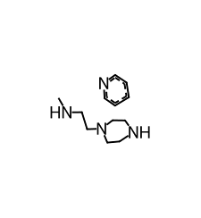 CNCCN1CCNCC1.c1ccncc1